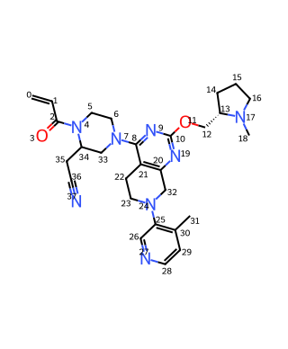 C=CC(=O)N1CCN(c2nc(OC[C@@H]3CCCN3C)nc3c2CCN(c2cnccc2C)C3)CC1CC#N